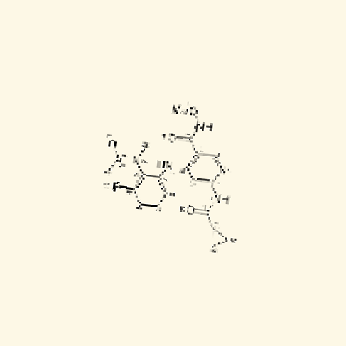 CONC(=O)c1cnc(NC(=O)C2CC2)cc1Nc1cccc(F)c1N(C)[S+](C)[O-]